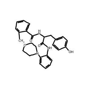 Cc1ccccc1C(=O)NC(Cc1ccc(O)cc1)C(=O)Nc1ccccc1N1CCOCC1